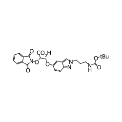 CC(C)(C)OC(=O)NCCCn1cc2cc(OCC(ON3C(=O)c4ccccc4C3=O)C(=O)O)ccc2n1